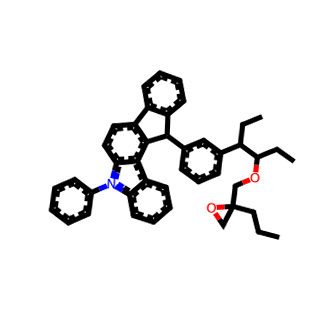 CCCC1(COC(CC)C(CC)c2cccc(C3c4ccccc4-c4ccc5c(c43)c3ccccc3n5-c3ccccc3)c2)CO1